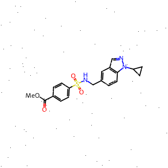 COC(=O)c1ccc(S(=O)(=O)NCc2ccc3c(cnn3C3CC3)c2)cc1